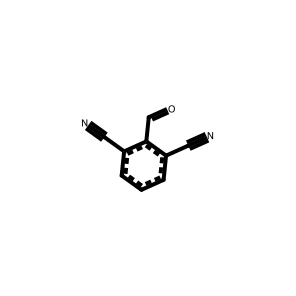 N#Cc1cccc(C#N)c1C=O